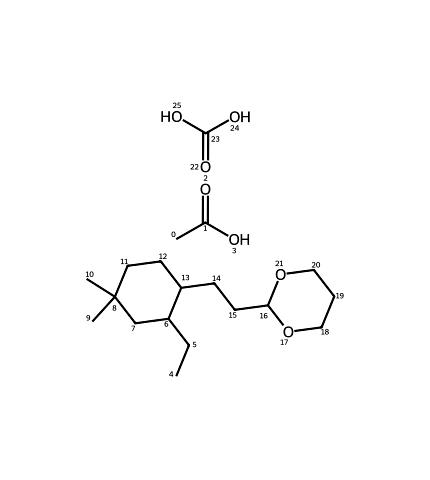 CC(=O)O.CCC1CC(C)(C)CCC1CCC1OCCCO1.O=C(O)O